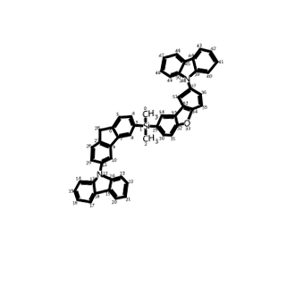 C[Si](C)(c1ccc2c(c1)-c1cc(-n3c4ccccc4c4ccccc43)ccc1C2)c1ccc2oc3ccc(-n4c5ccccc5c5ccccc54)cc3c2c1